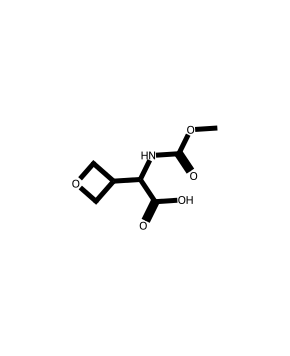 COC(=O)NC(C(=O)O)C1COC1